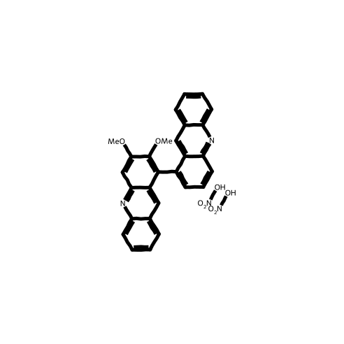 COc1cc2nc3ccccc3cc2c(-c2cccc3nc4ccccc4cc23)c1OC.O=[N+]([O-])O.O=[N+]([O-])O